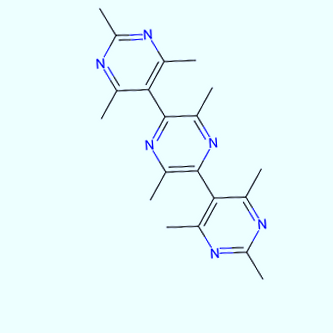 Cc1nc(C)c(-c2nc(C)c(-c3c(C)nc(C)nc3C)nc2C)c(C)n1